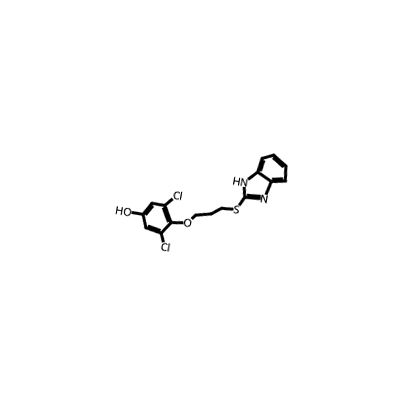 Oc1cc(Cl)c(OCCCSc2nc3ccccc3[nH]2)c(Cl)c1